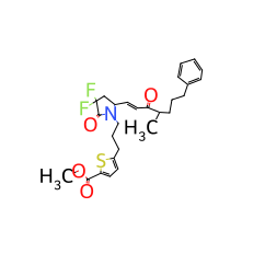 COC(=O)c1ccc(CCCN2C(=O)C(F)(F)CC2C=CC(=O)C(C)CCCc2ccccc2)s1